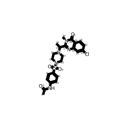 CC(=O)Nc1ccc(S(=O)(=O)N2CCN(C(C)c3nc4cc(Cl)ccc4c(=O)n3C)CC2)cc1